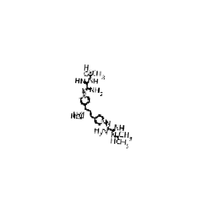 CC(C)NC(=N)C(N)=NN1CCC(CCCC2CCN(N=C(N)C(=N)NC(C)C)CC2)CC1.Cl.Cl